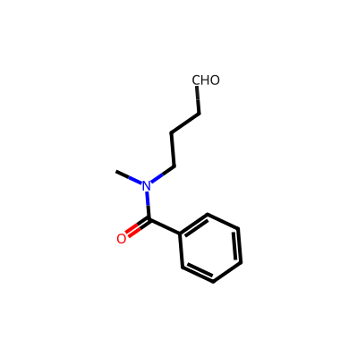 CN(CCCC=O)C(=O)c1ccccc1